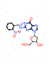 O=c1[nH]c(NCc2ccccc2[N+](=O)[O-])nc2c1ncn2[C@H]1CC(O)[C@@H](CO)O1